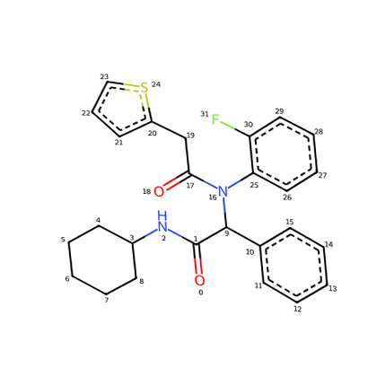 O=C(NC1CCCCC1)C(c1ccccc1)N(C(=O)Cc1cccs1)c1ccccc1F